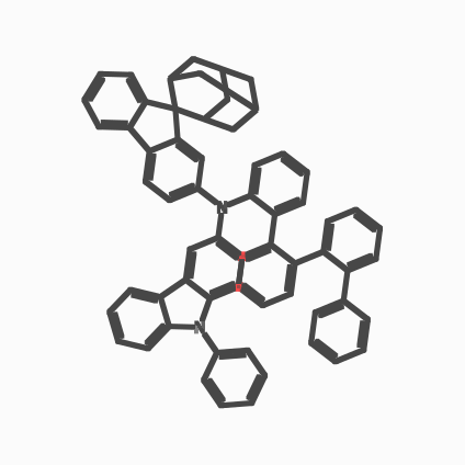 c1ccc(-c2ccccc2-c2ccccc2-c2ccccc2N(c2ccc3c(c2)C2(c4ccccc4-3)C3CC4CC(C3)CC2C4)c2ccc3c(c2)c2ccccc2n3-c2ccccc2)cc1